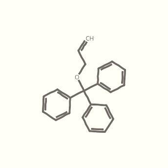 [CH]=CCOC(c1ccccc1)(c1ccccc1)c1ccccc1